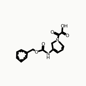 O=C(NC1=CC=CN(C(=O)C(=O)O)C1)OCc1ccccc1